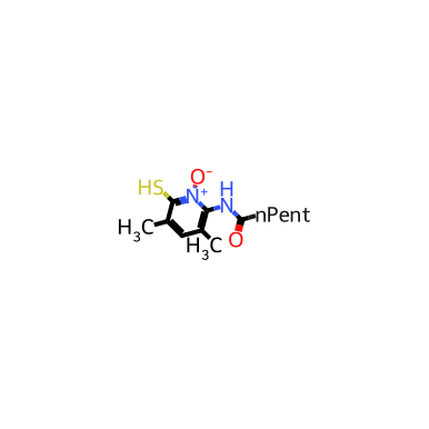 CCCCCC(=O)Nc1c(C)cc(C)c(S)[n+]1[O-]